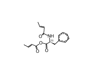 CC=CC(=O)N[C@@H](Cc1ccccc1)C(=O)OC(=O)C=CC